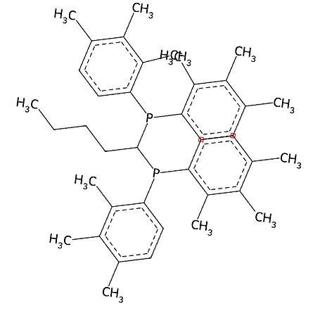 CCCCC(P(c1ccc(C)c(C)c1C)c1ccc(C)c(C)c1C)P(c1ccc(C)c(C)c1C)c1ccc(C)c(C)c1C